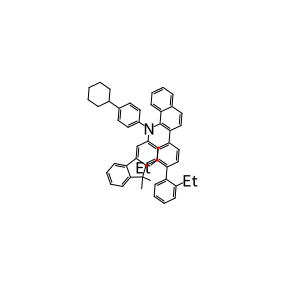 CCc1ccccc1-c1ccc(-c2ccc3ccccc3c2N(c2ccc(C3CCCCC3)cc2)c2ccc3c(c2)-c2ccccc2C3(C)C)cc1CC